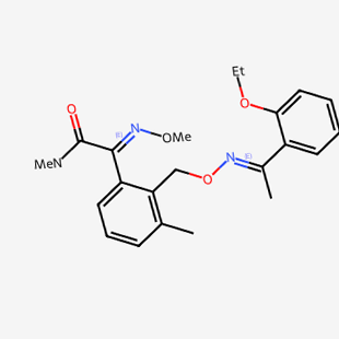 CCOc1ccccc1/C(C)=N/OCc1c(C)cccc1/C(=N\OC)C(=O)NC